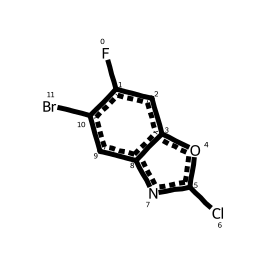 Fc1cc2oc(Cl)nc2cc1Br